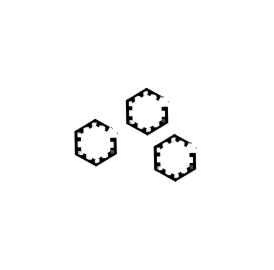 c1ccncc1.c1ccncc1.c1ccncc1